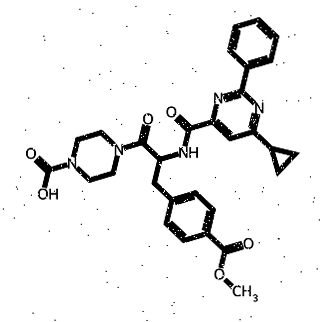 COC(=O)c1ccc(CC(NC(=O)c2cc(C3CC3)nc(-c3ccccc3)n2)C(=O)N2CCN(C(=O)O)CC2)cc1